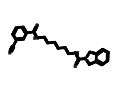 N#Cc1cccc(C(=O)NCCCCCCNC(=O)N2Cc3ccccc3C2)c1